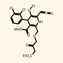 CCOC(=O)CC(=O)COCC1=C(C(=O)OC)C(c2cccc(Cl)c2Cl)C(OCC)=C(C=C=O)N1